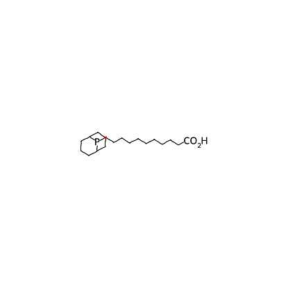 O=C(O)CCCCCCCCCCP1C2CCCC1CCC2